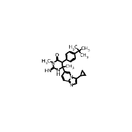 CN1C(=N)NC(C)(c2ccc3ncc(C4CC4)n3c2)C(c2ccc(C(C)(C)C)cc2)C1=O